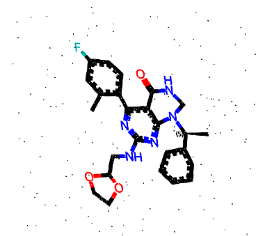 Cc1cc(F)ccc1-c1nc(NCC2OCCO2)nc2c1C(=O)NCN2[C@@H](C)c1ccccc1